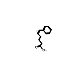 O=C(O)CCC/C=C\c1ccccc1